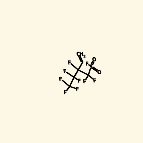 C=CC(F)(C(F)(F)C(F)(F)F)C(F)(F)S(=O)(=O)F